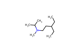 CCC(CC)CCN(C)C(C)C